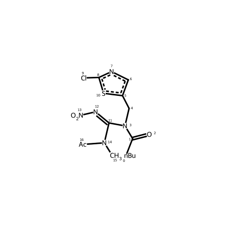 CCCCC(=O)N(Cc1cnc(Cl)s1)C(=N[N+](=O)[O-])N(C)C(C)=O